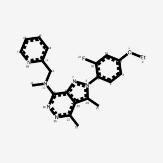 CCOc1ccc(-n2nc3c(N(C)Cc4ccccn4)nnc(C)c3c2C)c(F)c1